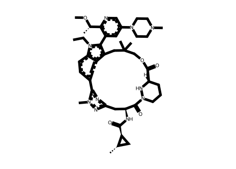 CCn1c(-c2cc(N3CCN(C)CC3)cnc2[C@H](C)OC)c2c3cc(ccc31)-c1nc(nn1C)C[C@H](NC(=O)[C@H]1C[C@@H]1C)C(=O)N1CCC[C@H](N1)C(=O)OCC(C)(C)C2